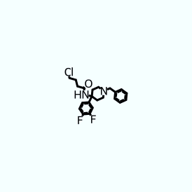 O=C(CCCCl)NC1(c2ccc(F)c(F)c2)CCN(Cc2ccccc2)CC1